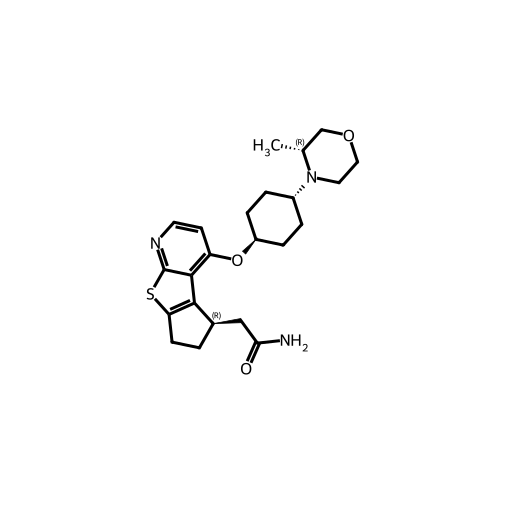 C[C@@H]1COCCN1[C@H]1CC[C@H](Oc2ccnc3sc4c(c23)[C@@H](CC(N)=O)CC4)CC1